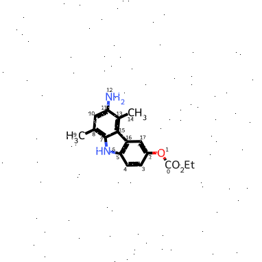 CCOC(=O)Oc1ccc2[nH]c3c(C)cc(N)c(C)c3c2c1